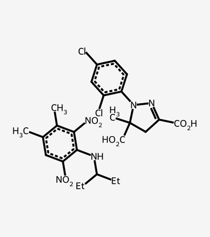 CC1(C(=O)O)CC(C(=O)O)=NN1c1ccc(Cl)cc1Cl.CCC(CC)Nc1c([N+](=O)[O-])cc(C)c(C)c1[N+](=O)[O-]